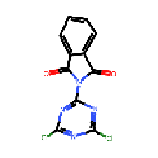 O=C1c2ccccc2C(=O)N1c1nc(Cl)nc(Cl)n1